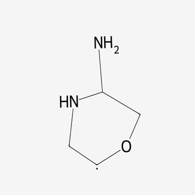 NC1CO[CH]CN1